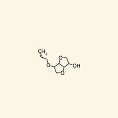 C=CCOC1COC2C(O)COC12